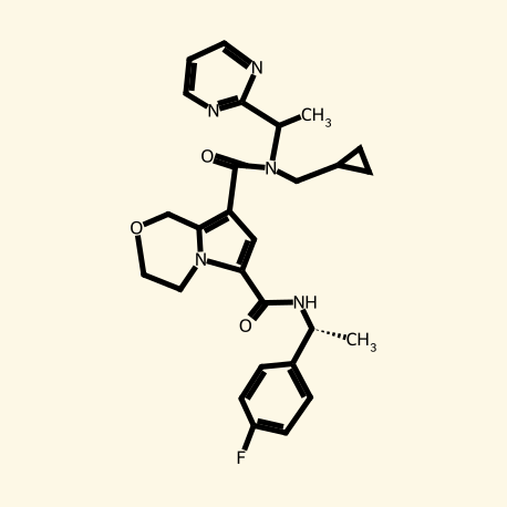 CC(c1ncccn1)N(CC1CC1)C(=O)c1cc(C(=O)N[C@H](C)c2ccc(F)cc2)n2c1COCC2